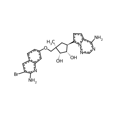 C[C@]1(COc2ccc3cc(Br)c(N)nc3c2)C[C@@H](c2ccc3c(N)ncnn23)[C@H](O)[C@@H]1O